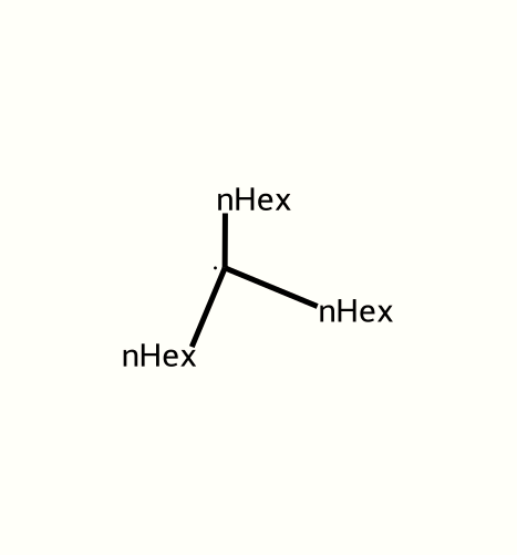 CCCCCC[C](CCCCCC)CCCCCC